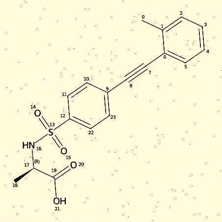 Cc1ccccc1C#Cc1ccc(S(=O)(=O)N[C@H](C)C(=O)O)cc1